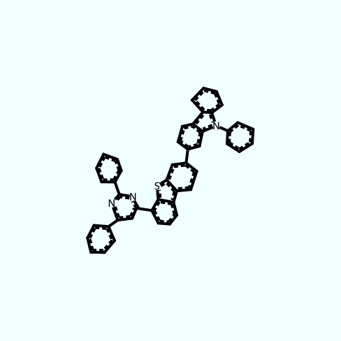 c1ccc(-c2cc(-c3cccc4c3sc3cc(-c5ccc6c7ccccc7n(-c7ccccc7)c6c5)ccc34)nc(-c3ccccc3)n2)cc1